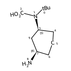 CC(C)(C)N(C(=O)O)[C@H]1CCC[C@@H](N)C1